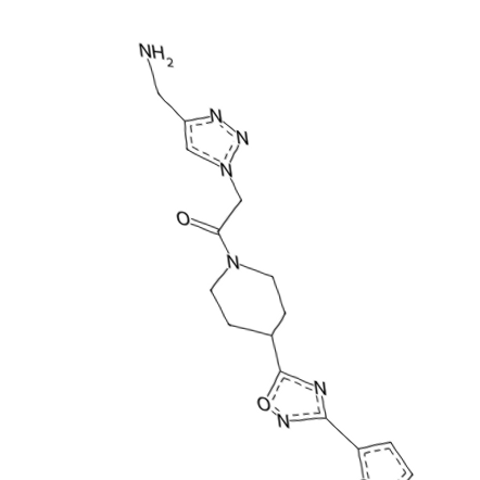 NCc1cn(CC(=O)N2CCC(c3nc(-c4cccs4)no3)CC2)nn1